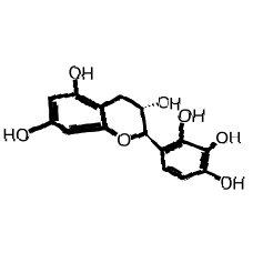 Oc1cc(O)c2c(c1)O[C@H](c1ccc(O)c(O)c1O)[C@@H](O)C2